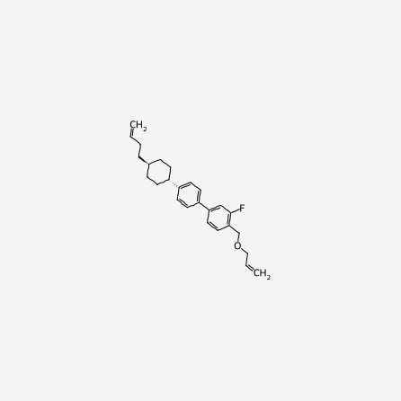 C=CCC[C@H]1CC[C@H](c2ccc(-c3ccc(COCC=C)c(F)c3)cc2)CC1